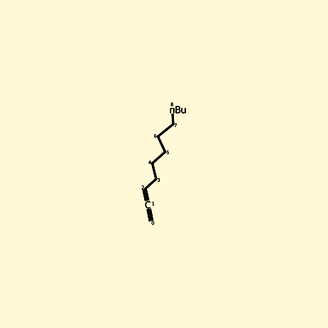 C=C=CCCCCCCCCC